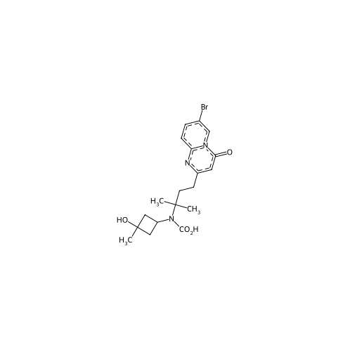 CC1(O)CC(N(C(=O)O)C(C)(C)CCc2cc(=O)n3cc(Br)ccc3n2)C1